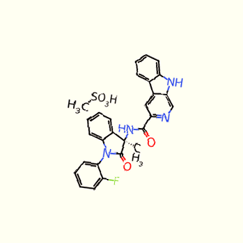 CS(=O)(=O)O.C[C@]1(NC(=O)c2cc3c(cn2)[nH]c2ccccc23)C(=O)N(c2ccccc2F)c2ccccc21